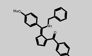 COc1ccc(C(=O)C2=CC=CC2=C(NCc2ccccc2)c2ccc(OC)cc2)cc1